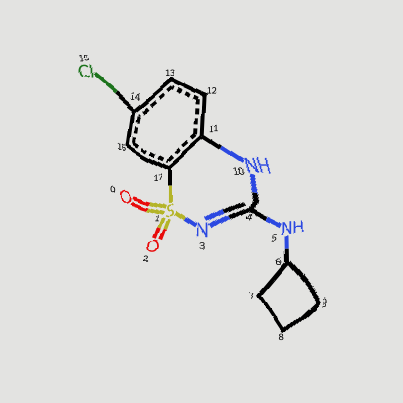 O=S1(=O)N=C(NC2CCC2)Nc2ccc(Cl)cc21